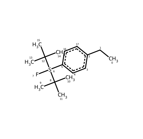 CCc1ccc(S(F)(C(C)(C)C)C(C)(C)C)cc1